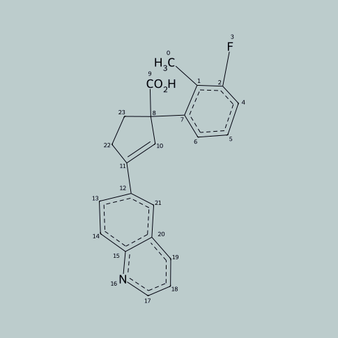 Cc1c(F)cccc1C1(C(=O)O)C=C(c2ccc3ncccc3c2)CC1